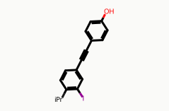 CC(C)c1ccc(C#Cc2ccc(O)cc2)cc1I